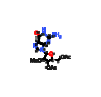 COC1C(OC(C)=O)[C@@H](COC(C)=O)O[C@H]1n1cnc2c(=O)[nH]c(N)nc21